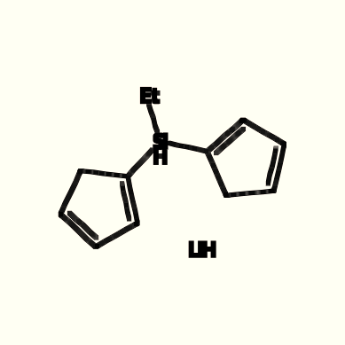 CC[SiH](C1=CC=CC1)C1=CC=CC1.[LiH]